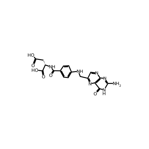 Nc1nc2ncc(CNc3ccc(C(=O)N[C@@H](CC(=O)O)C(=O)O)cc3)nc2c(=O)[nH]1